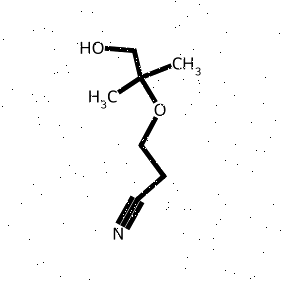 CC(C)(CO)OCCC#N